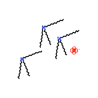 CCCCCCCCCCCCC[N+](C)(CCCCCCCCCCC)CCCCCCCCCCCC.CCCCCCCCCCCCC[N+](C)(CCCCCCCCCCC)CCCCCCCCCCCC.CCCCCCCCCCCCC[N+](C)(CCCCCCCCCCC)CCCCCCCCCCCC.O=P([O-])([O-])[O-]